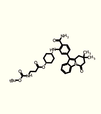 CC1(C)CC(=O)n2c(c(-c3ccc(C(N)=O)c(N[C@H]4CC[C@H](OC(=O)CCNC(=O)OC(C)(C)C)CC4)c3)c3ccccc32)C1